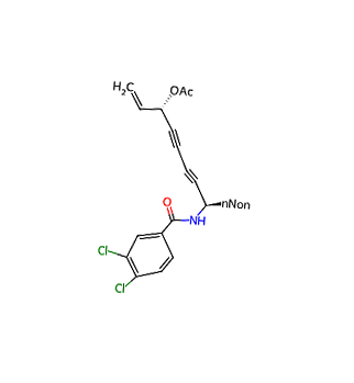 C=C[C@@H](C#CC#C[C@@H](CCCCCCCCC)NC(=O)c1ccc(Cl)c(Cl)c1)OC(C)=O